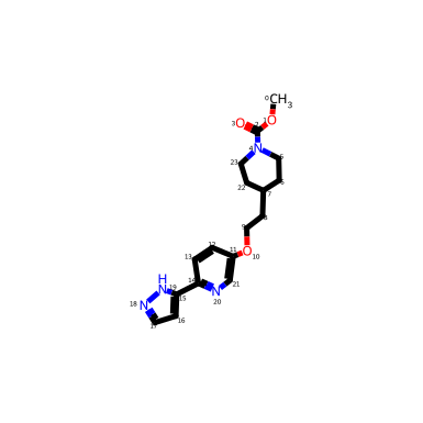 COC(=O)N1CCC(CCOc2ccc(-c3ccn[nH]3)nc2)CC1